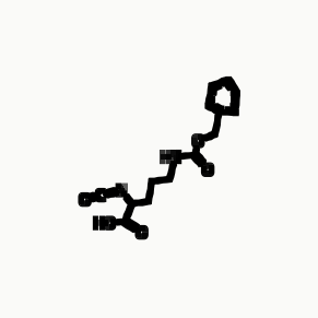 O=C=NC(CCCNC(=O)OCc1ccccc1)C(=O)O